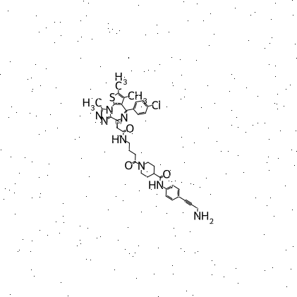 Cc1sc2c(c1C)C(c1ccc(Cl)cc1)=N[C@@H](CC(=O)NCCCC(=O)N1CCC(C(=O)Nc3ccc(C#CCN)cc3)CC1)c1nnc(C)n1-2